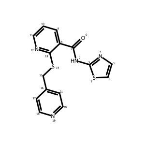 O=C(Nc1nccs1)c1cccnc1SCc1ccncc1